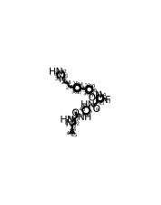 O=C(N[C@H]1CC[C@H](NC(=O)c2cc(F)cnc2Oc2cccc(-c3ccc(CCCN4CCNCC4)cc3)c2)CC1)c1cc(C2CC2)n[nH]1